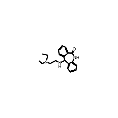 CCN(CC)CCNC1c2ccccc2NC(=O)c2ccccc21